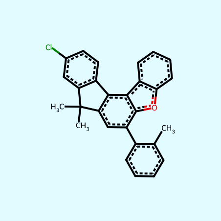 Cc1ccccc1-c1cc2c(c3c1oc1ccccc13)-c1ccc(Cl)cc1C2(C)C